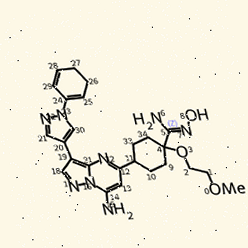 COCCOC1(/C(N)=N/O)CCC(c2cc(N)n3ncc(-c4cnn(C5=CCCC=C5)c4)c3n2)CC1